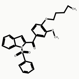 CCCCCOc1ccc(C(=O)c2cc3ccccc3n2S(=O)(=O)c2ccccc2)cc1OC